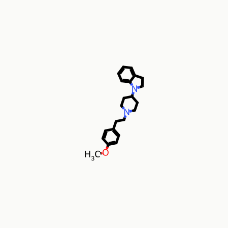 COc1ccc(CCN2CCC(N3CCc4ccccc43)CC2)cc1